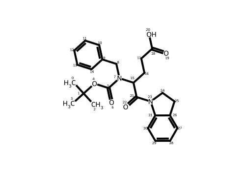 CC(C)(C)OC(=O)N(Cc1ccccc1)C(CCC(=O)O)C(=O)N1CCc2ccccc21